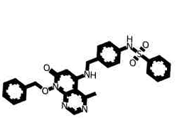 Cc1ncnc2c1c(NCc1ccc(NS(=O)(=O)c3ccccc3)cc1)cc(=O)n2OCc1ccccc1